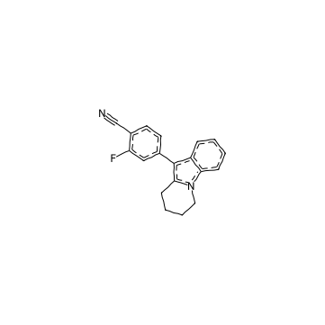 N#Cc1ccc(-c2c3n(c4ccccc24)CCCC3)cc1F